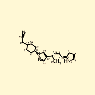 CC(/N=C\N=C1/CC=CN1)c1cnn(C2CCC(CC#N)CC2)c1